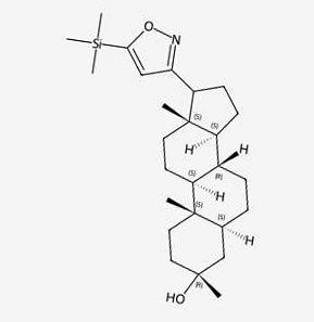 C[C@@]1(O)CC[C@@]2(C)[C@@H](CC[C@@H]3[C@@H]2CC[C@]2(C)C(c4cc([Si](C)(C)C)on4)CC[C@@H]32)C1